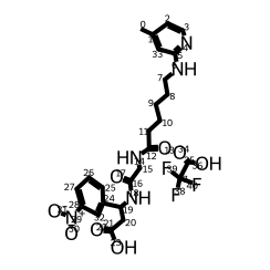 Cc1ccnc(NCCCCCC(=O)NCC(=O)NC(CC(=O)O)c2cccc([N+](=O)[O-])c2)c1.O=C(O)C(F)(F)F